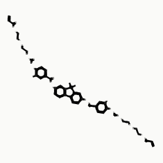 C=CC(=O)OCCOCCOC(=O)Oc1ccc(C(=O)Oc2ccc3c(c2)C(C)(C)c2cc(OC(=O)c4ccc(OC(=O)OCCOCCOC(=O)C=C)c(F)c4)ccc2-3)cc1F